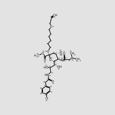 C#CCOCCCCCCO[C@]1(C(=O)OC)C[C@H](O)[C@@H](NC(=O)CN(C)C)[C@H]([C@H](O)[C@H](O)CNC(=O)Cc2ccc(Cl)cc2)O1